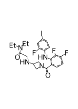 CCN(CC)C(=O)CNC1CN(C(=O)c2ccc(F)c(F)c2Nc2ccc(I)cc2F)C1